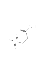 C[C@@H](CC(N)=O)S(C)(=O)=O